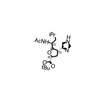 CC(=O)N[C@@H](CC(C)C)[C@@H]1O[C@@H](C(=O)OC(C)(C)C)C[C@H]1c1c[nH]cn1